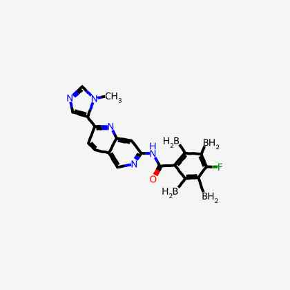 Bc1c(B)c(C(=O)Nc2cc3nc(-c4cncn4C)ccc3cn2)c(B)c(B)c1F